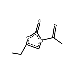 CCc1cn(C(C)=O)c(=O)o1